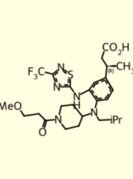 COCCC(=O)N1CCC(N(CC(C)C)c2ccc([C@H](C)CC(=O)O)cc2Nc2nc(C(F)(F)F)ns2)CC1